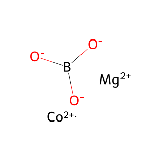 [Co+2].[Mg+2].[O-]B([O-])[O-]